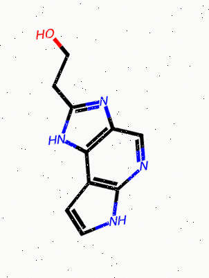 OCCc1nc2cnc3[nH]ccc3c2[nH]1